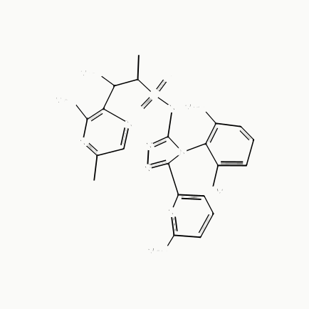 COc1cccc(-c2nnc(NS(=O)(=O)C(C)C(OC)c3ncc(C)nc3OC)n2-c2c(OC)cccc2OC)n1